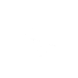 CCC1(Oc2ccccc2C=O)C=CC=CC1